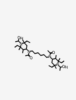 CCC1(C)CC(N(CCCCCCN(C(C)=O)C2CC(C)(CC)N(C(C)O)C(C)(CC)C2C)C(C)=O)C(C)C(C)(CC)N1C(C)O